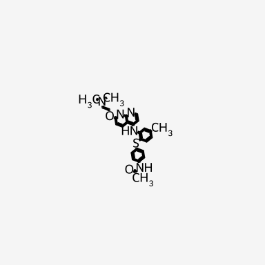 CC(=O)Nc1ccc(Sc2ccc(C)cc2Nc2ccnc3nc(OCCN(C)C)ccc23)cc1